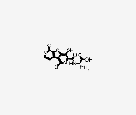 C[C@H](NC(=O)c1nc(Cl)c2c(sc3c(Cl)nccc32)c1O)C(=O)O